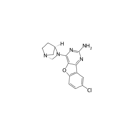 Nc1nc(N2C[N@]3CC[C@@H]2C3)c2oc3ccc(Cl)cc3c2n1